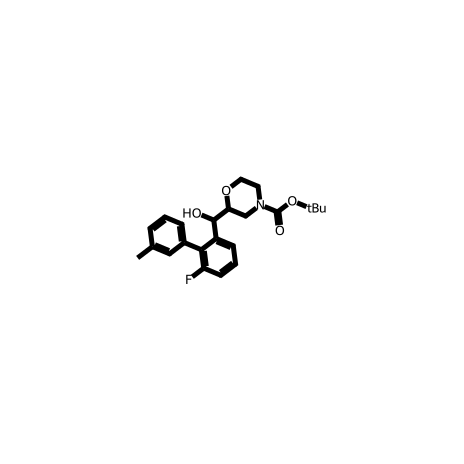 Cc1cccc(-c2c(F)cccc2C(O)C2CN(C(=O)OC(C)(C)C)CCO2)c1